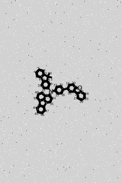 CC1(C)c2ccccc2-c2ccc(N(c3ccc(-c4ccc5oc6ccccc6c5c4)cc3)c3ccc4c5c(cccc35)-c3ccccc3-4)cc21